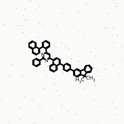 CC1(C)c2ccccc2-c2cc(-c3ccc(-c4ccc(-c5cc(-c6ccccc6-c6cccc7ccccc67)nc(-c6ccccc6)n5)c5ccccc45)cc3)ccc21